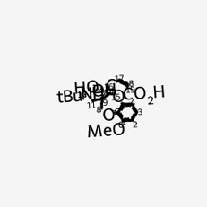 COc1cccc2c1OCC(O)(CNC(C)(C)C)CO2.O=C(O)/C=C\C(=O)O